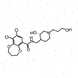 O=C(NCC1CCN(CCCO)C[C@H]1O)c1cc(Cl)c(Cl)c2c1OCCCO2